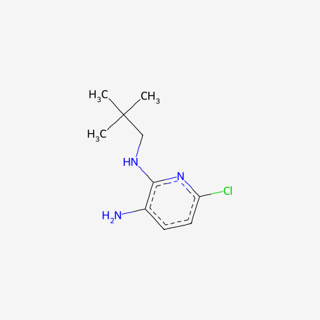 CC(C)(C)CNc1nc(Cl)ccc1N